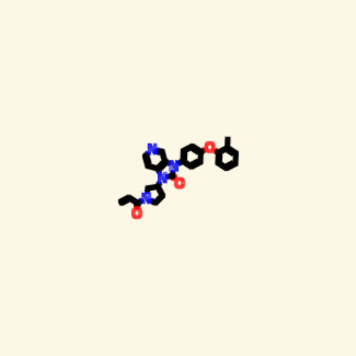 C=CC(=O)N1CCC(n2c(=O)n(-c3ccc(Oc4ccccc4C)cc3)c3cnccc32)C1